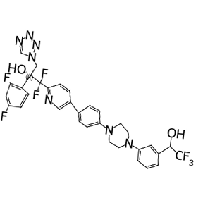 OC(c1cccc(N2CCN(c3ccc(-c4ccc(C(F)(F)[C@](O)(Cn5cnnn5)c5ccc(F)cc5F)nc4)cc3)CC2)c1)C(F)(F)F